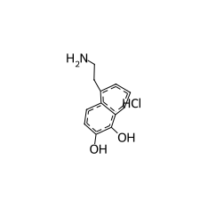 Cl.NCCc1cccc2c(O)c(O)ccc12